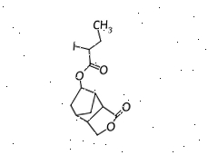 CCC(I)C(=O)OC1CC2CC1C1C(=O)OCC21